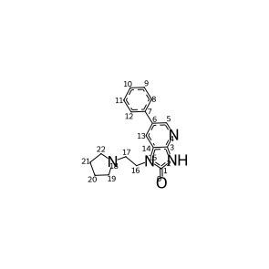 O=c1[nH]c2ncc(-c3ccccc3)cc2n1CCN1CCCC1